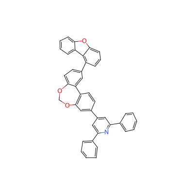 c1ccc(-c2cc(-c3ccc4c(c3)OCOc3ccc(-c5cccc6oc7ccccc7c56)cc3-4)cc(-c3ccccc3)n2)cc1